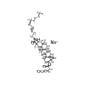 CC(C)=CCCC(C)=CCSCCNC(=O)C1(C)CC[C@]2(C)CC[C@]3(C)C(=CCC4[C@@]5(C)CC[C@H](OC(=O)/C=C\C(=O)[O-])C(C)(C)[C@H]5CC[C@]43C)[C@@H]2C1.[Na+]